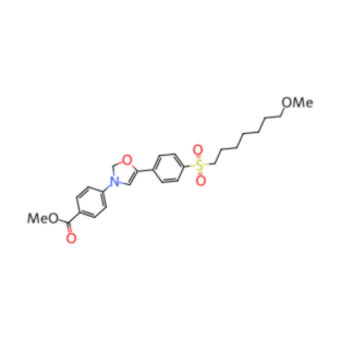 COCCCCCCCS(=O)(=O)c1ccc(C2=CN(c3ccc(C(=O)OC)cc3)CO2)cc1